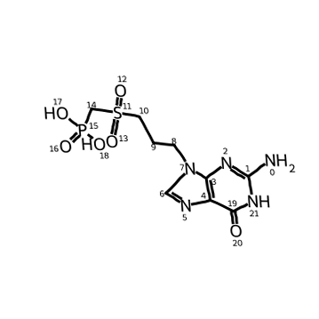 Nc1nc2c(ncn2CCCS(=O)(=O)CP(=O)(O)O)c(=O)[nH]1